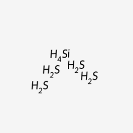 S.S.S.S.[SiH4]